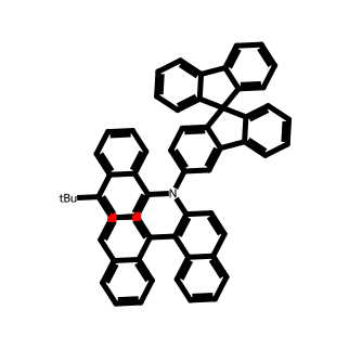 CC(C)(C)c1ccc(N(c2ccc3c(c2)-c2ccccc2C32c3ccccc3-c3ccccc32)c2ccc3ccccc3c2-c2cccc3ccccc23)c2ccccc12